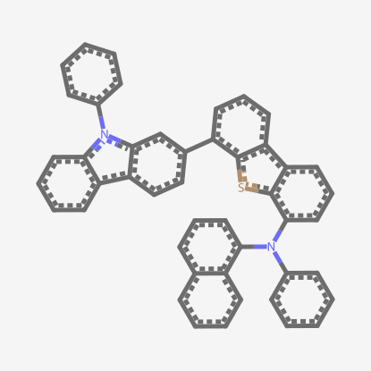 c1ccc(N(c2cccc3ccccc23)c2cccc3c2sc2c(-c4ccc5c6ccccc6n(-c6ccccc6)c5c4)cccc23)cc1